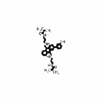 C=C(C)C(=O)NCCCNCc1c2ccccc2c(CNCCCNC(=O)C(=C)C)c2cc(-c3cccc(O)c3)ccc12